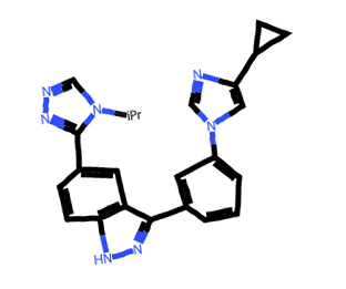 CC(C)n1cnnc1-c1ccc2[nH]nc(-c3cccc(-n4cnc(C5CC5)c4)c3)c2c1